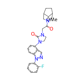 COC1C2CCC1CN(C(=O)CN1CCN(c3cccc4c3cnn4-c3ccccc3F)C1=O)C2